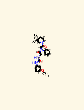 COc1cccc(NC(=O)NCC(=O)N(CC(=O)N2CCCC(C)(C)C2)c2ccccc2)c1